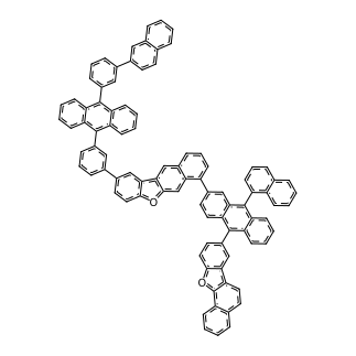 c1cc(-c2ccc3ccccc3c2)cc(-c2c3ccccc3c(-c3cccc(-c4ccc5oc6cc7c(-c8ccc9c(-c%10ccc%11oc%12c%13ccccc%13ccc%12c%11c%10)c%10ccccc%10c(-c%10cccc%11ccccc%10%11)c9c8)cccc7cc6c5c4)c3)c3ccccc23)c1